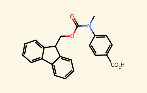 CN(C(=O)OCC1c2ccccc2-c2ccccc21)c1ccc(C(=O)O)cc1